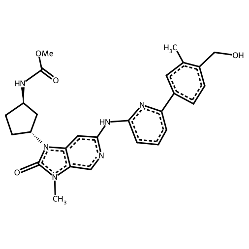 COC(=O)N[C@@H]1CC[C@@H](n2c(=O)n(C)c3cnc(Nc4cccc(-c5ccc(CO)c(C)c5)n4)cc32)C1